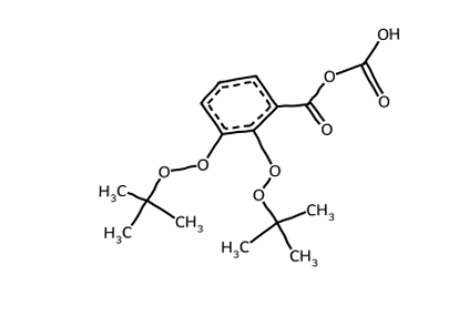 CC(C)(C)OOc1cccc(C(=O)OC(=O)O)c1OOC(C)(C)C